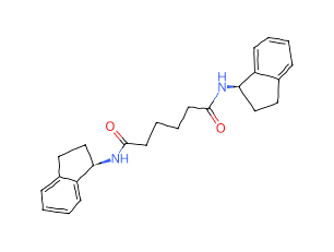 O=C(CCCCC(=O)N[C@@H]1CCc2ccccc21)N[C@@H]1CCc2ccccc21